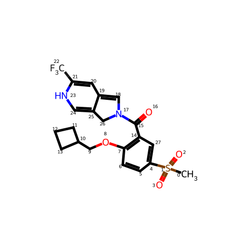 CS(=O)(=O)c1ccc(OCC2CCC2)c(C(=O)N2C=C3C=C(C(F)(F)F)NC=C3C2)c1